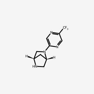 FC(F)(F)c1cnc(N2C[C@@H]3C[C@H]2CN3)cn1